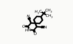 CC(C)(C)C1CCC2(CC1)C(C#N)C(=O)NC(=O)C2C#N